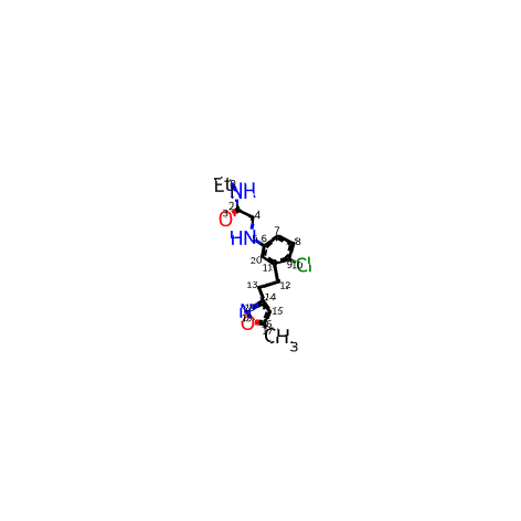 CCNC(=O)CNc1ccc(Cl)c(CCc2cc(C)on2)c1